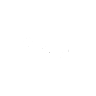 CC1(C)OCC(NC(=O)OCc2ccccc2)CO1